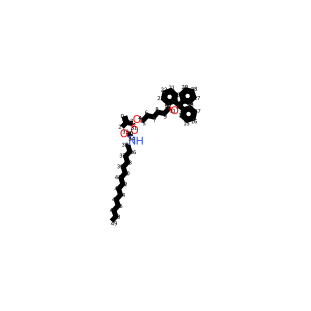 C=C(C)C(OCCCCCCOC(c1ccccc1)(c1ccccc1)c1ccccc1)OC(=O)NCCCCCCCCCCCCCCC